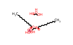 CCCCCCCCCCCCCC(=O)OCC(COP(=O)(O)O)OC(=O)CCCCCCCCCCCCC.OCC(O)CO